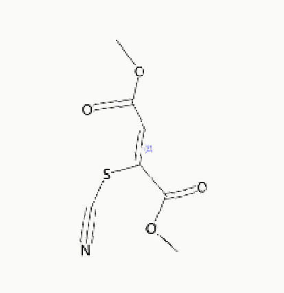 COC(=O)/C=C(\SC#N)C(=O)OC